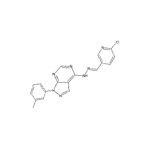 Cc1cccc(-n2ncc3c(N/N=C/c4ccc(Cl)nc4)ncnc32)c1